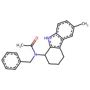 CC(=O)N(Cc1ccccc1)C1CCCc2c1[nH]c1ccc(C)cc21